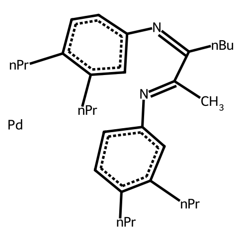 CCCCC(=Nc1ccc(CCC)c(CCC)c1)C(C)=Nc1ccc(CCC)c(CCC)c1.[Pd]